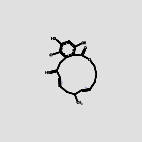 CC1/C=C/CCCOC(=O)c2c(O)cc(O)c(Cl)c2CC(=N)/C=C/C1